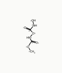 COC(=O)NOC(=O)NO